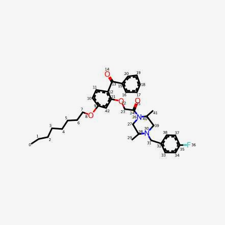 CCCCCCCCOc1ccc(C(=O)c2ccccc2)c(OCC(=O)N2CC(C)N(Cc3ccc(F)cc3)CC2C)c1